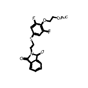 CC(=O)OCCOc1c(F)cc(SCCN2C(=O)c3ccccc3C2=O)cc1F